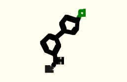 CCBc1cccc(-c2ccc(Cl)cc2)c1